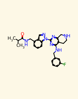 CC(C)C(=O)NCc1cccc2c1cnn2-c1nc2c(c(NCc3cccc(F)c3)n1)CCNC2